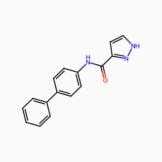 O=C(Nc1ccc(-c2ccccc2)cc1)c1cc[nH]n1